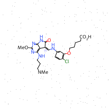 CNCCCNc1nc(OC)nc2c1/C(=C/Nc1ccc(Cl)c(OCCCCC(=O)O)c1)C(=O)N2